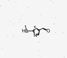 CBc1ncc(C=O)s1